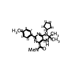 CNC(=O)c1nc(-c2ccc(C)cc2)nc2c1NC(C)(C)N2C1CCCC1